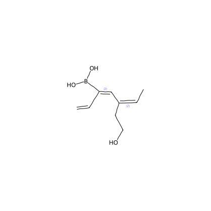 C=C/C(=C\C(=C/C)CCO)B(O)O